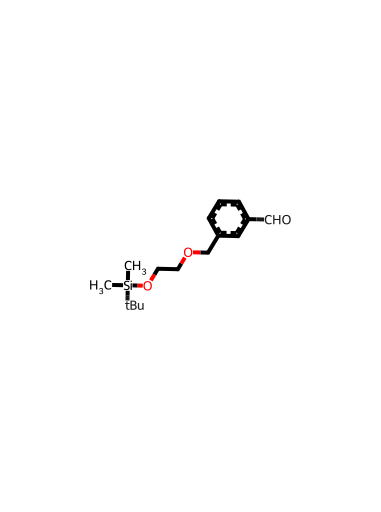 CC(C)(C)[Si](C)(C)OCCOCc1cccc(C=O)c1